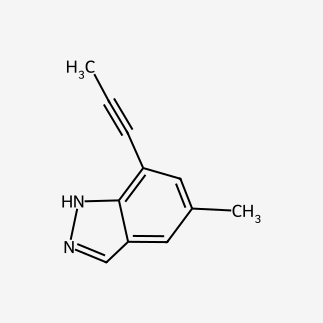 CC#Cc1cc(C)cc2cn[nH]c12